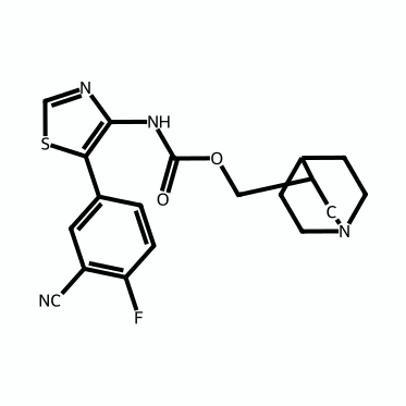 N#Cc1cc(-c2scnc2NC(=O)OCC2CN3CCC2CC3)ccc1F